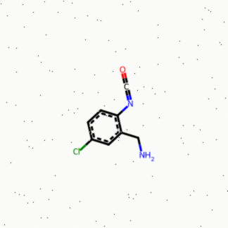 NCc1cc(Cl)ccc1N=C=O